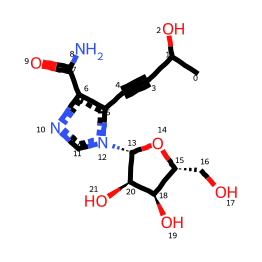 CC(O)C#Cc1c(C(N)=O)ncn1[C@@H]1O[C@H](CO)[C@@H](O)[C@H]1O